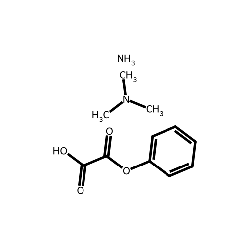 CN(C)C.N.O=C(O)C(=O)Oc1ccccc1